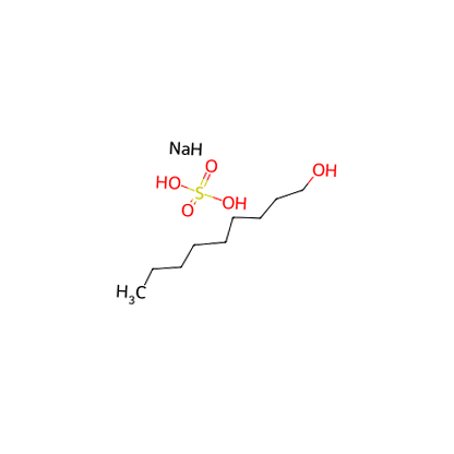 CCCCCCCCCO.O=S(=O)(O)O.[NaH]